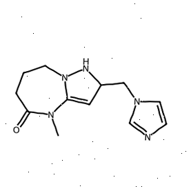 CN1C(=O)CCCN2NC(Cn3ccnc3)C=C21